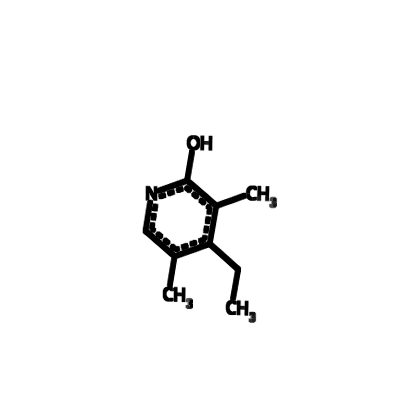 CCc1c(C)cnc(O)c1C